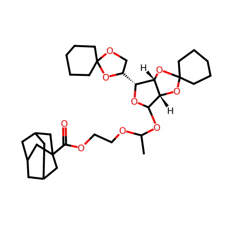 CC(OCCOC(=O)C12CC3CC(CC(C3)C1)C2)OC1O[C@H](C2COC3(CCCCC3)O2)[C@@H]2OC3(CCCCC3)O[C@H]12